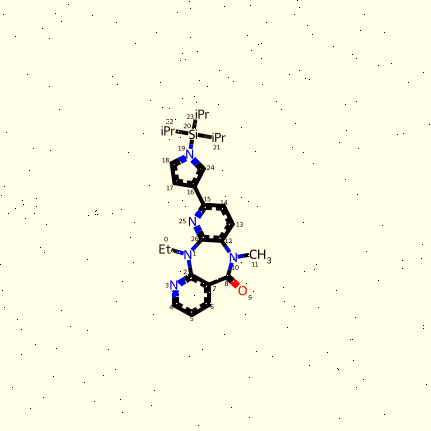 CCN1c2ncccc2C(=O)N(C)c2ccc(-c3ccn([Si](C(C)C)(C(C)C)C(C)C)c3)nc21